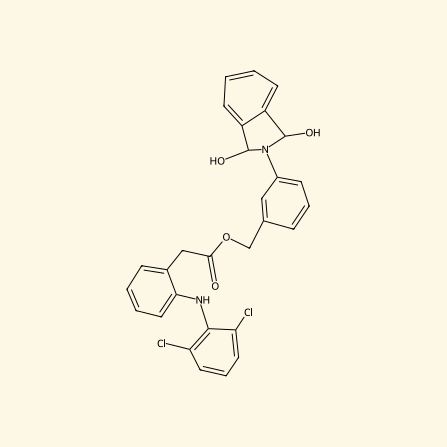 O=C(Cc1ccccc1Nc1c(Cl)cccc1Cl)OCc1cccc(N2C(O)c3ccccc3C2O)c1